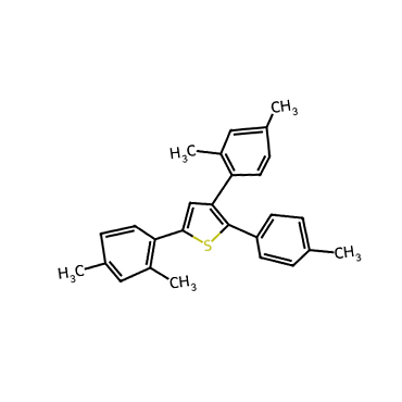 Cc1ccc(-c2sc(-c3ccc(C)cc3C)cc2-c2ccc(C)cc2C)cc1